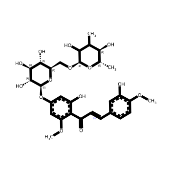 COc1ccc(/C=C/C(=O)c2c(O)cc(O[C@@H]3O[C@H](CO[C@@H]4O[C@@H](C)[C@H](O)C(C)C4O)[C@@H](O)[C@H](O)[C@H]3O)cc2OC)cc1O